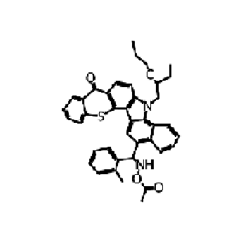 CCCCC(CC)Cn1c2ccc3c(=O)c4ccccc4sc3c2c2cc(C(NOC(C)=O)c3ccccc3C)c3ccccc3c21